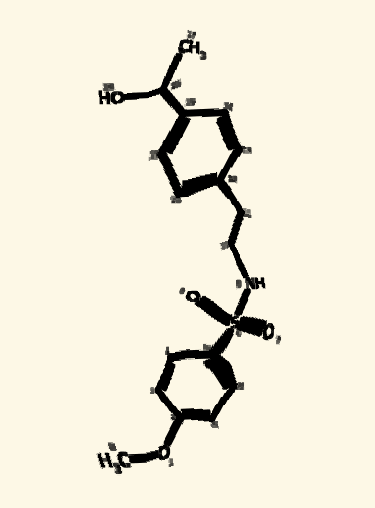 COc1ccc(S(=O)(=O)NCCc2ccc(C(C)O)cc2)cc1